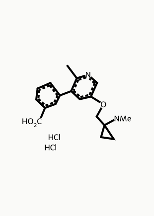 CNC1(COc2cnc(C)c(-c3cccc(C(=O)O)c3)c2)CC1.Cl.Cl